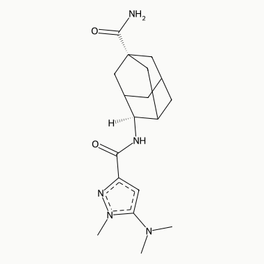 CN(C)c1cc(C(=O)N[C@H]2C3CC4CC2C[C@](C(N)=O)(C4)C3)nn1C